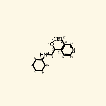 COC(CNC1CCCCC1)c1ccncc1Cl